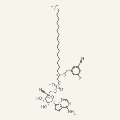 CCCCCCCCCCCCCCCCC[C@H](COP(=O)(O)OC[C@@]1(C#N)O[C@@H](c2ccc3c(N)ncnn23)[C@H](O)[C@@H]1O)OCc1cc(F)cc(C#N)c1